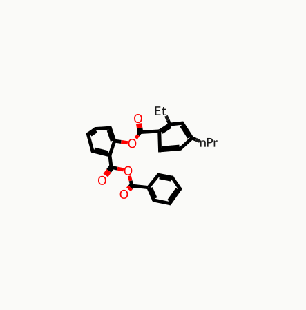 CCCc1ccc(C(=O)Oc2ccccc2C(=O)OC(=O)c2ccccc2)c(CC)c1